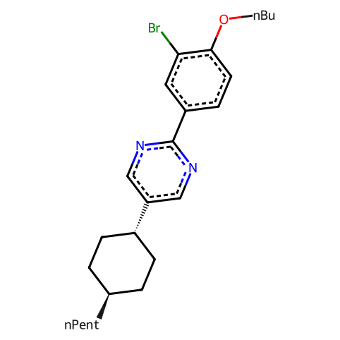 CCCCC[C@H]1CC[C@H](c2cnc(-c3ccc(OCCCC)c(Br)c3)nc2)CC1